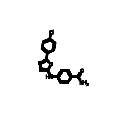 NC(=O)c1ccc(Nc2nnc(-c3ccc(Cl)cc3)o2)cc1